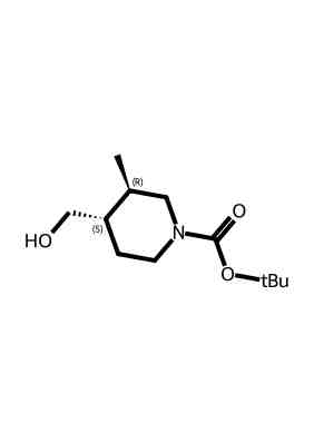 C[C@H]1CN(C(=O)OC(C)(C)C)CC[C@@H]1CO